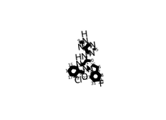 CC(Nc1ncnc2[nH]cnc12)c1nc2cccc(Cl)c2c(=O)n1N1CCc2cc(F)ccc21